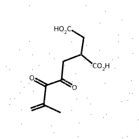 C=C(C)C(=O)C(=O)CC(CC(=O)O)C(=O)O